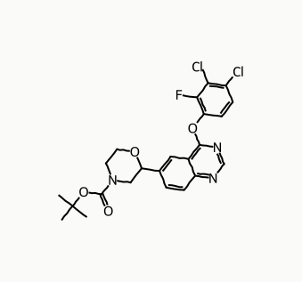 CC(C)(C)OC(=O)N1CCOC(c2ccc3ncnc(Oc4ccc(Cl)c(Cl)c4F)c3c2)C1